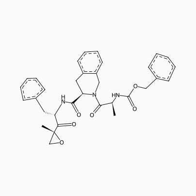 C[C@H](NC(=O)OCc1ccccc1)C(=O)N1Cc2ccccc2C[C@@H]1C(=O)N[C@@H](Cc1ccccc1)C(=O)[C@@]1(C)CO1